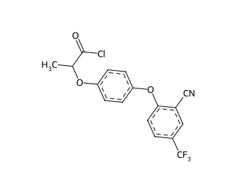 CC(Oc1ccc(Oc2ccc(C(F)(F)F)cc2C#N)cc1)C(=O)Cl